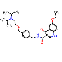 CCOc1ccc2[nH]cc(C(=O)NCc3ccc(COCCN(C(C)C)C(C)C)cc3)c(=O)c2c1